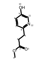 COC(=O)CCc1ccc(O)cn1